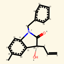 C=CC[C@]1(O)C(=O)N(Cc2ccccc2)c2ccc(C)cc21